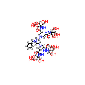 O=C(CCN(CCC(=O)NC(CO)(CO)CO)CCN(CCN(CCC(=O)NC(CO)(CO)CO)CCC(=O)NC(CO)(CO)CO)Cc1ccccc1)NC(CO)(CO)CO